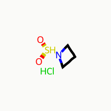 Cl.O=[SH](=O)N1CCC1